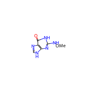 CONc1nc2[nH]cnc2c(=O)[nH]1